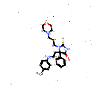 COc1ccc(NC(=O)CC2(c3ccccc3)C(=O)NC(=S)N2CCCN2CCOCC2)cc1